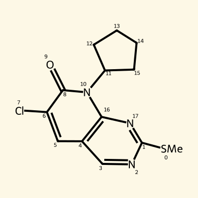 CSc1ncc2cc(Cl)c(=O)n(C3CCCC3)c2n1